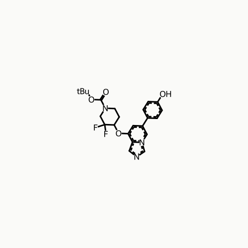 CC(C)(C)OC(=O)N1CCC(Oc2cc(-c3ccc(O)cc3)cn3cncc23)C(F)(F)C1